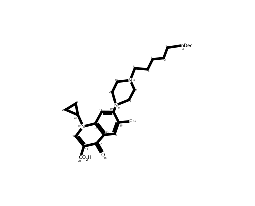 CCCCCCCCCCCCCCCN1CCN(c2cc3c(cc2F)c(=O)c(C(=O)O)cn3C2CC2)CC1